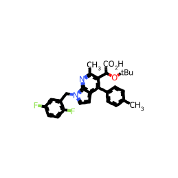 Cc1ccc(-c2c(C(OC(C)(C)C)C(=O)O)c(C)nc3c2ccn3Cc2cc(F)ccc2F)cc1